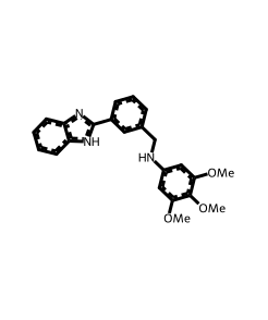 COc1cc(NCc2cccc(-c3nc4ccccc4[nH]3)c2)cc(OC)c1OC